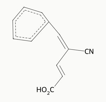 N#CC(C=CC(=O)O)=Cc1ccccc1